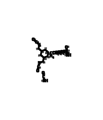 C.C.C.C.C.C.N=C=O.N=C=O.O=C=NCC1CCCC(CN=C=O)C1